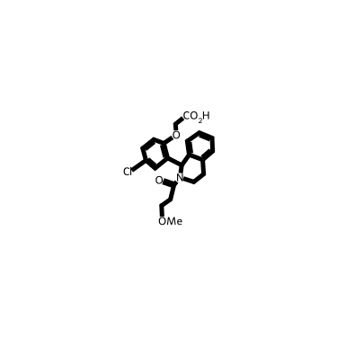 COCCC(=O)N1CCc2ccccc2C1c1cc(Cl)ccc1OCC(=O)O